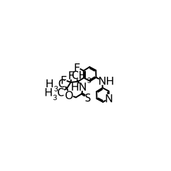 CC1(C)OCC(=S)NC(C)(c2cc(Nc3cccnc3)ccc2F)C1(F)F